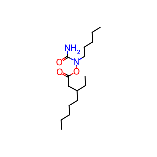 CCCCCC(CC)CC(=O)ON(CCCCC)C(N)=O